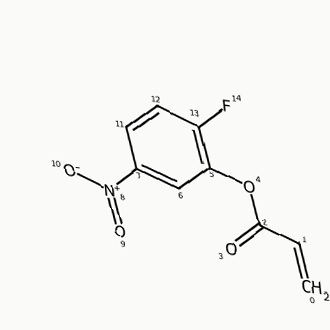 C=CC(=O)Oc1cc([N+](=O)[O-])ccc1F